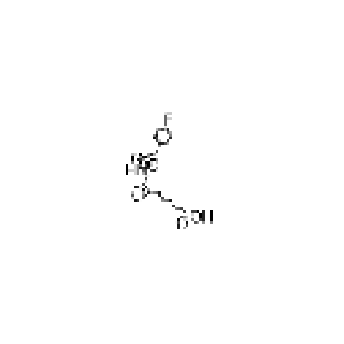 O=C(O)CCCC=CC1C2CCC(C2)C1CNS(=O)(=O)C=Cc1ccc(F)cc1